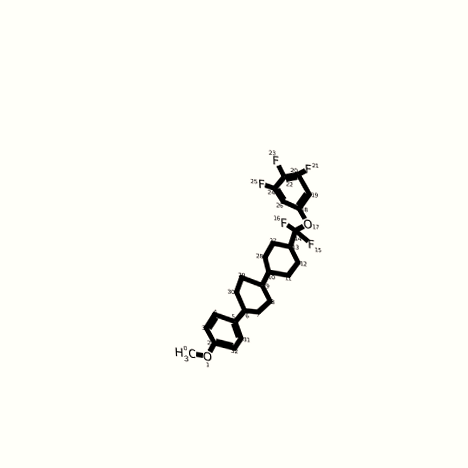 COc1ccc(C2CCC(C3CCC(C(F)(F)Oc4cc(F)c(F)c(F)c4)CC3)CC2)cc1